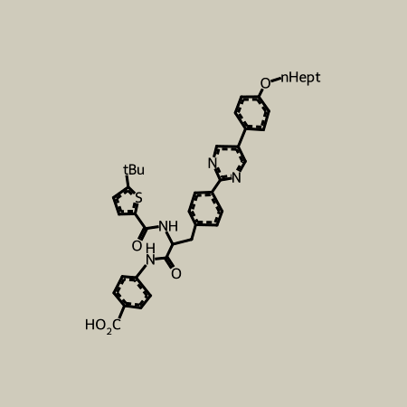 CCCCCCCOc1ccc(-c2cnc(-c3ccc(CC(NC(=O)c4ccc(C(C)(C)C)s4)C(=O)Nc4ccc(C(=O)O)cc4)cc3)nc2)cc1